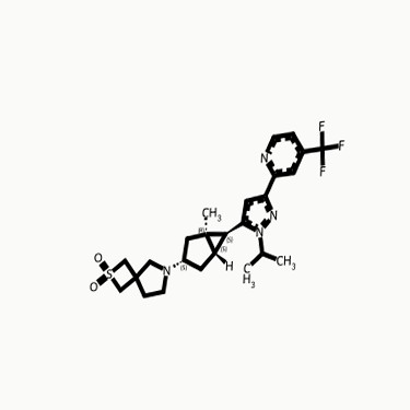 CC(C)n1nc(-c2cc(C(F)(F)F)ccn2)cc1[C@H]1[C@@H]2C[C@H](N3CCC4(C3)CS(=O)(=O)C4)C[C@]21C